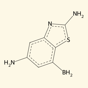 Bc1cc(N)cc2nc(N)sc12